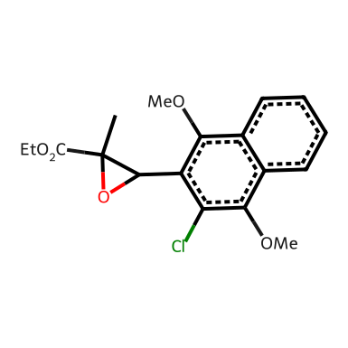 CCOC(=O)C1(C)OC1c1c(Cl)c(OC)c2ccccc2c1OC